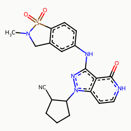 CN1Cc2cc(Nc3nn(C4CCCC4C#N)c4cc[nH]c(=O)c34)ccc2S1(=O)=O